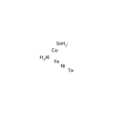 [AlH3].[Co].[Fe].[Ni].[SnH2].[Ta]